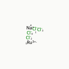 [Cl-].[Cl-].[Cl-].[Cl-].[Na+].[Ru+3]